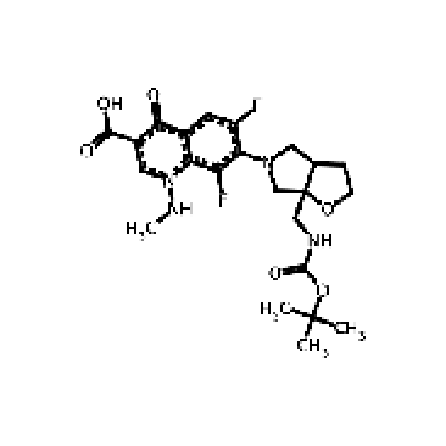 CNn1cc(C(=O)O)c(=O)c2cc(F)c(N3CC4CCOC4(CNC(=O)OC(C)(C)C)C3)c(F)c21